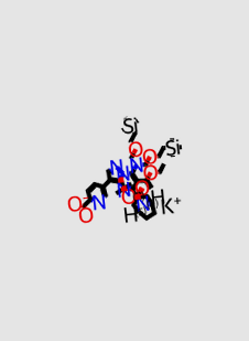 C=C(OCC)c1c([C@H]2C[C@H]3CC[C@@H](C2)N3C(=O)OC(C)(C)C)nc2c(-c3ccc(C(=O)[O-])nc3)cnn2c1N(COCC[Si](C)(C)C)COCC[Si](C)(C)C.[K+]